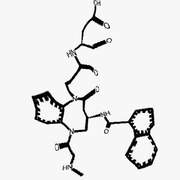 CNCC(=O)N1C[C@H](NC(=O)c2cccc3ccccc23)C(=O)N(CC(=O)N[C@H](C=O)CC(=O)O)c2ccccc21